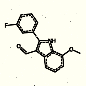 COc1cccc2c(C=O)c(-c3cccc(F)c3)[nH]c12